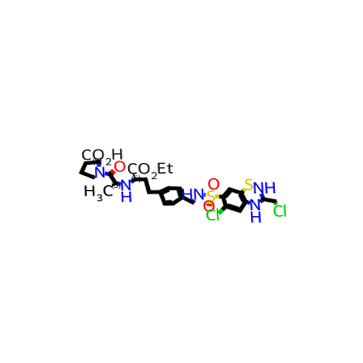 CCOC(=O)[C@H](CCc1ccc(CNS(=O)(=O)c2cc3c(cc2Cl)NC(CCl)NS3)cc1)N[C@@H](C)C(=O)N1CCC[C@H]1C(=O)O